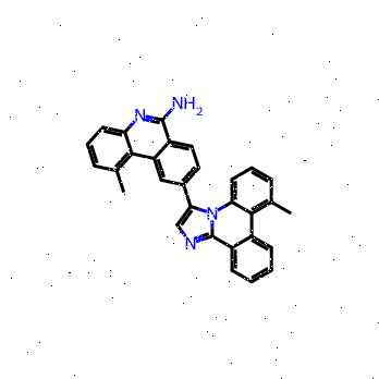 Cc1cccc2nc(N)c3ccc(-c4cnc5c6ccccc6c6c(C)cccc6n45)cc3c12